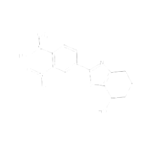 CN(C)c1ccc(-c2nc3c(s2)C(O)CCC3)cc1[N+](=O)[O-]